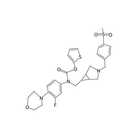 CS(=O)(=O)c1ccc(CN2CC3C(C2)C3CN(C(=O)Oc2cccs2)c2ccc(N3CCOCC3)c(F)c2)cc1